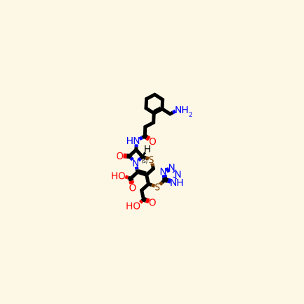 NCC1=C(CCC(=O)NC2C(=O)N3C(C(=O)O)=C(C(CC(=O)O)Sc4nnn[nH]4)CS[C@@H]23)CCCC1